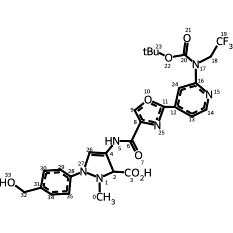 CN1C(C(=O)O)C(NC(=O)c2coc(-c3ccnc(N(CC(F)(F)F)C(=O)OC(C)(C)C)c3)n2)=CN1c1ccc(CO)cc1